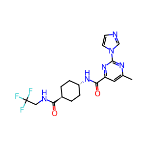 Cc1cc(C(=O)N[C@H]2CC[C@H](C(=O)NCC(F)(F)F)CC2)nc(-n2ccnc2)n1